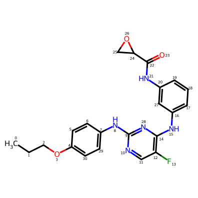 CCCOc1ccc(Nc2ncc(F)c(Nc3cccc(NC(=O)C4CO4)c3)n2)cc1